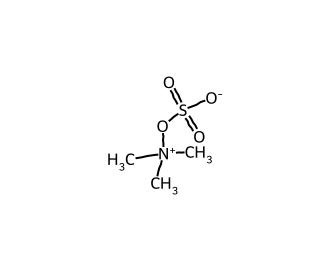 C[N+](C)(C)OS(=O)(=O)[O-]